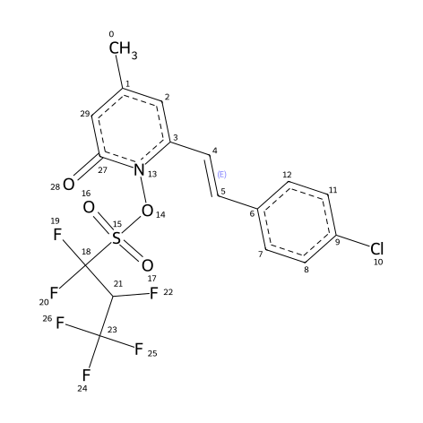 Cc1cc(/C=C/c2ccc(Cl)cc2)n(OS(=O)(=O)C(F)(F)C(F)C(F)(F)F)c(=O)c1